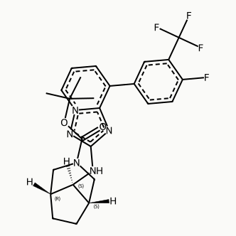 CC(C)(C)OC(=O)N1C[C@H]2CC[C@@H](C1)[C@@H]2Nc1nc2c(-c3ccc(F)c(C(F)(F)F)c3)cccn2n1